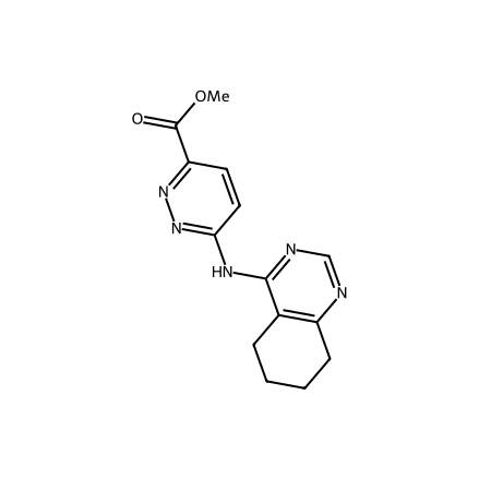 COC(=O)c1ccc(Nc2ncnc3c2CCCC3)nn1